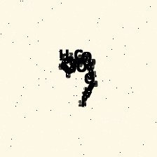 CC1(c2ccccc2)OCC(COCC#CI)O1